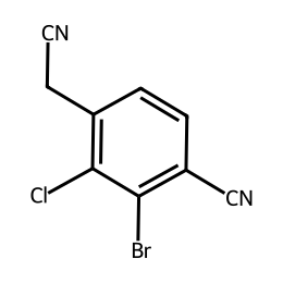 N#CCc1ccc(C#N)c(Br)c1Cl